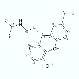 CCc1ccc(O)c([C@@H](CCNC(C)C)c2ccccc2)c1.Cl